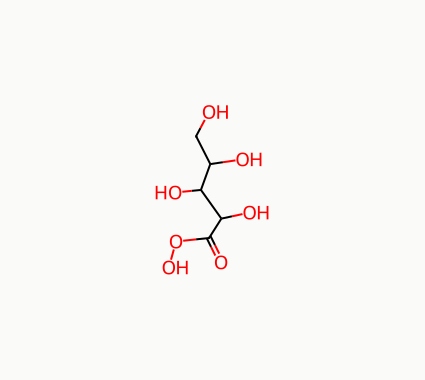 O=C(OO)C(O)C(O)C(O)CO